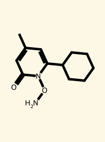 Cc1cc(C2CCCCC2)n(ON)c(=O)c1